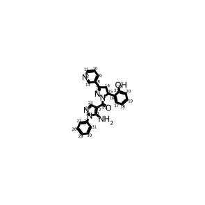 Nc1c(C(=O)N2N=C(c3cccnc3)CC2c2ccccc2O)cnn1-c1ccccc1